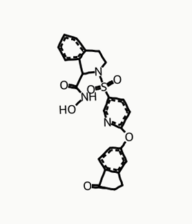 O=C1CCc2cc(Oc3ccc(S(=O)(=O)N4CCc5ccccc5C4C(=O)NO)cn3)ccc21